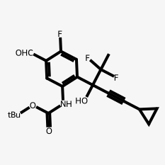 CC(C)(C)OC(=O)Nc1cc(C=O)c(F)cc1C(O)(C#CC1CC1)C(C)(F)F